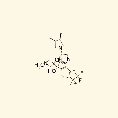 CN1CC(C)([C@](O)(c2ccc(C3(C(F)(F)F)CC3)cc2)c2cncc(N3C[C@@H](F)[C@@H](F)C3)c2)C1